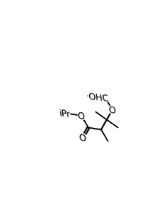 CC(C)OC(=O)C(C)C(C)(C)O[C]=O